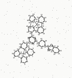 c1ccc2c(c1)-c1ccccc1C21c2ccccc2-c2ccc(-c3nc(-c4ccc(-c5nc6ccccc6o5)cc4)nc(-c4ccc5c(c4)C4(c6ccccc6-c6ccccc64)c4ccccc4-5)n3)cc21